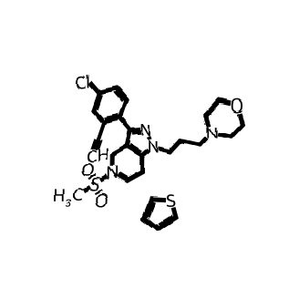 C#Cc1cc(Cl)ccc1-c1nn(CCCN2CCOCC2)c2c1CN(S(C)(=O)=O)CC2.c1ccsc1